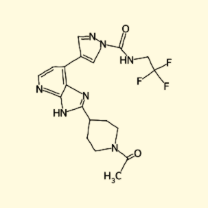 CC(=O)N1CCC(c2nc3c(-c4cnn(C(=O)NCC(F)(F)F)c4)ccnc3[nH]2)CC1